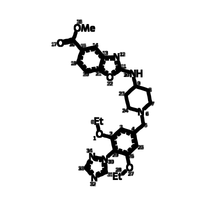 CCOc1cc(CN2CCC(Nc3nc4cc(C(=O)OC)ccc4o3)CC2)cc(OCC)c1-n1cncn1